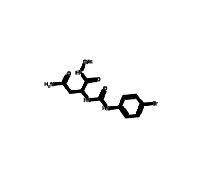 CC(=O)ONC(=O)C(CC(N)=O)NC(=O)Nc1ccc(Br)cc1